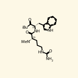 CCC(C)C(=O)[C@H](Cc1c[nH]c2ccccc12)NC(=O)[C@H](CCCNC(N)=O)NC